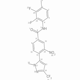 Cc1ccc(NC(=O)c2ccc(-c3cc(C(F)(F)F)nn3C)c([N+](=O)[O-])c2)c(F)c1F